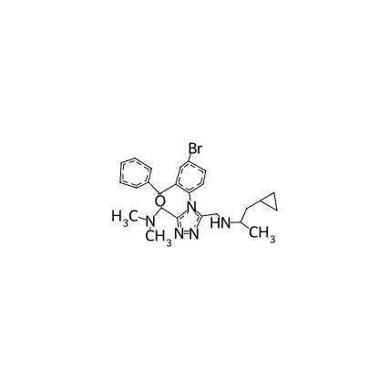 CC(CC1CC1)NCc1nnc(CN(C)C)n1-c1ccc(Br)cc1C(=O)c1ccccc1